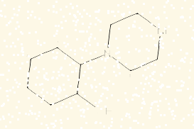 OC1CCCCC1N1CCNCC1